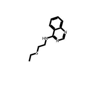 CCSCCNc1ncnc2ccccc12